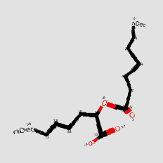 CCCCCCCCCCCCCCCC(=O)OC(CCCCCCCCCCCCCC)C([O])=O